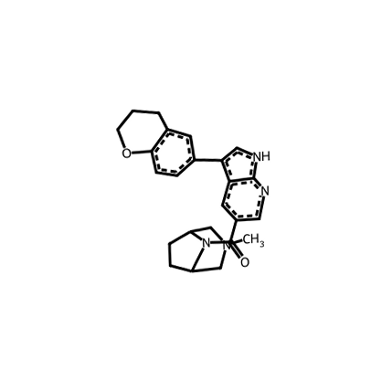 CN1CC2CCC(C1)N2C(=O)c1cnc2[nH]cc(-c3ccc4c(c3)CCCO4)c2c1